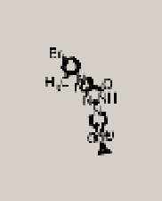 Cc1cc(Br)ccc1-n1cc2c(=O)[nH]c(N3CCN(S(=O)(=O)C4CC4)CC3)nc2n1